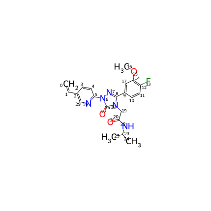 C=Cc1ccc(-n2nc(-c3ccc(F)c(OC)c3)n(CC(=O)NC(C)C)c2=O)nc1